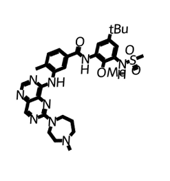 COc1c(NC(=O)c2ccc(C)c(Nc3ncnc4cnc(N5CCCN(C)CC5)nc34)c2)cc(C(C)(C)C)cc1NS(C)(=O)=O